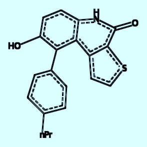 CCCc1ccc(-c2c(O)ccc3[nH]c(=O)c4sccc4c23)cc1